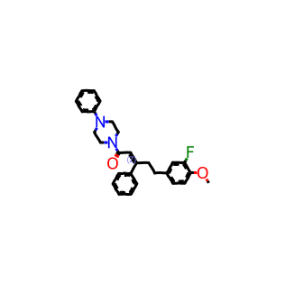 COc1ccc(CC/C(=C/C(=O)N2CCN(c3ccccc3)CC2)c2ccccc2)cc1F